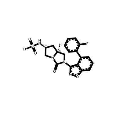 CCS(=O)(=O)N[C@H]1C[C@H]2CN(c3noc4cccc(-c5ccccc5F)c34)C(=O)N2C1